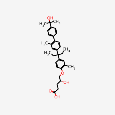 CCC(CC)(c1ccc(OC[C@H](O)CCC(=O)O)c(C)c1)c1ccc(-c2ccc(C(C)(C)O)cc2)c(C)c1